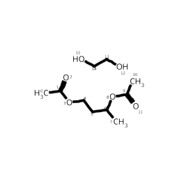 CC(=O)OCCC(C)OC(C)=O.OCCO